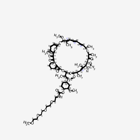 COCCOCCOCCOCCNC(=O)O[C@@H]1CC[C@@H](C[C@@H](C)[C@@H]2C[C@@H](OC)[C@H](C)/C=C(\C)[C@@H](O)[C@@H](OC)C(=O)C(C)C[C@H](C)/C=C/C=C/C=C(\C)[C@@H](OC)C[C@@H]3CC[C@@H](C)[C@@](O)(O3)C(=O)C(=O)N3CCCC[C@H]3C(=O)O2)C[C@H]1OC